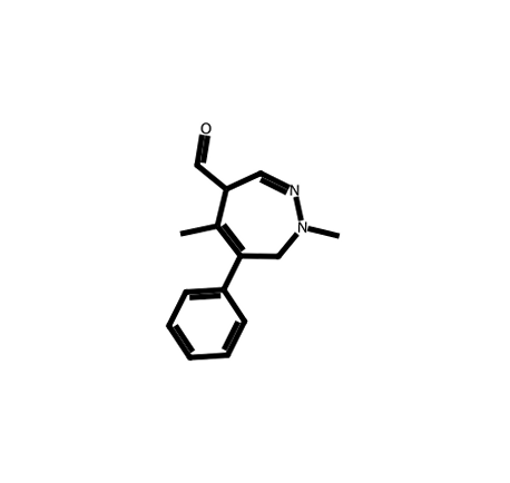 CC1=C(c2ccccc2)CN(C)N=CC1C=O